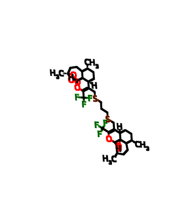 C[C@@H]1CC[C@H]2C(CSCCCSCC3=C(C(F)(F)F)O[C@@H]4O[C@]5(C)CCC6[C@H](C)CC[C@@H]3[C@]64OO5)=C(C(F)(F)F)O[C@@H]3O[C@]4(C)CCC1[C@]32OO4